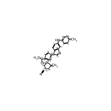 Cc1ccc(Nc2ccc3c(c2)ncn3-c2ccc(C(C)O)c(N3C[C@@H](C#N)C[C@H]3C)n2)nn1